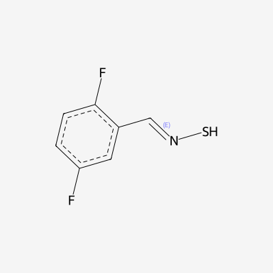 Fc1ccc(F)c(/C=N/S)c1